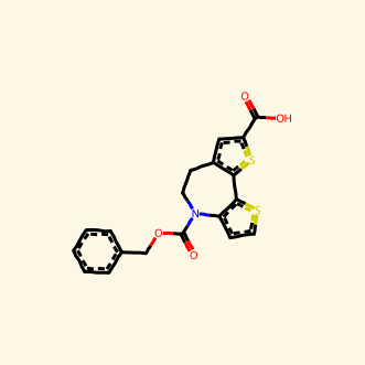 O=C(O)c1cc2c(s1)-c1sccc1N(C(=O)OCc1ccccc1)CC2